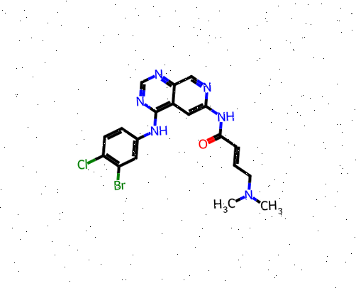 CN(C)CC=CC(=O)Nc1cc2c(Nc3ccc(Cl)c(Br)c3)ncnc2cn1